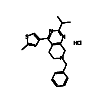 Cc1cc(-c2nc(C(C)C)nc3c2CCN(Cc2ccccc2)C3)cs1.Cl